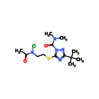 CC(=O)N(Cl)CCSc1nc(C(C)(C)C)nn1C(=O)N(C)C